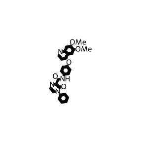 COc1cc2nccc(Oc3ccc(NC(=O)c4nccn(-c5ccccc5)c4=O)cc3)c2cc1OC